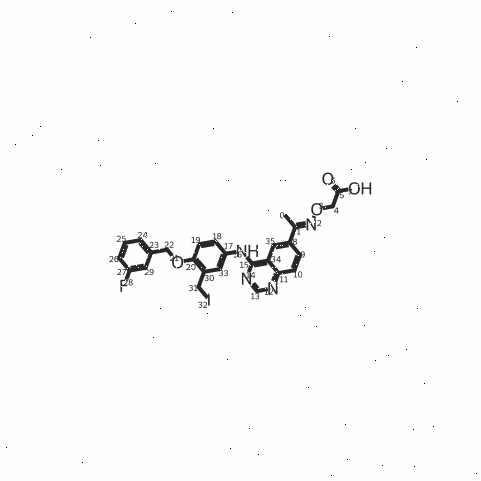 C/C(=N\OCC(=O)O)c1ccc2ncnc(Nc3ccc(OCc4cccc(F)c4)c(CI)c3)c2c1